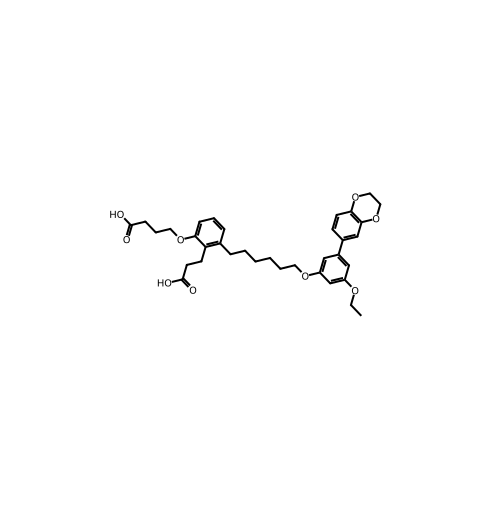 CCOc1cc(OCCCCCCc2cccc(OCCCC(=O)O)c2CCC(=O)O)cc(-c2ccc3c(c2)OCCO3)c1